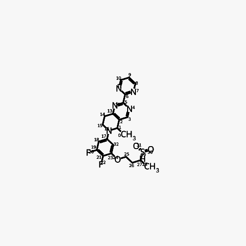 CC1c2cnc(-c3ncccn3)nc2CCN1c1cc(F)c(F)c(OCCC(C)[SH](=O)=O)c1